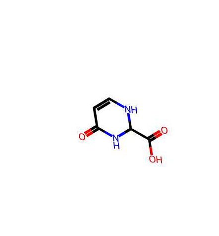 O=C1C=CNC(C(=O)O)N1